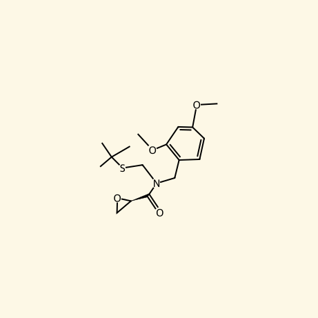 COc1ccc(CN(CSC(C)(C)C)C(=O)[C@H]2CO2)c(OC)c1